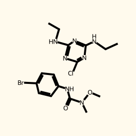 CCNc1nc(Cl)nc(NCC)n1.CON(C)C(=O)Nc1ccc(Br)cc1